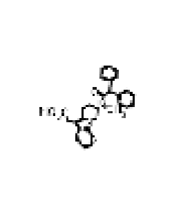 CN(C(=O)C(c1ccccc1)c1ccccc1)[C@@H]1CCc2c(CC(=O)O)c3cccnc3n2C1